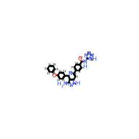 Nc1n[nH]c2cc(-c3ccc(C(=O)Nc4nnn[nH]4)cc3)nc(-c3ccc(Oc4ccccc4)cc3)c12